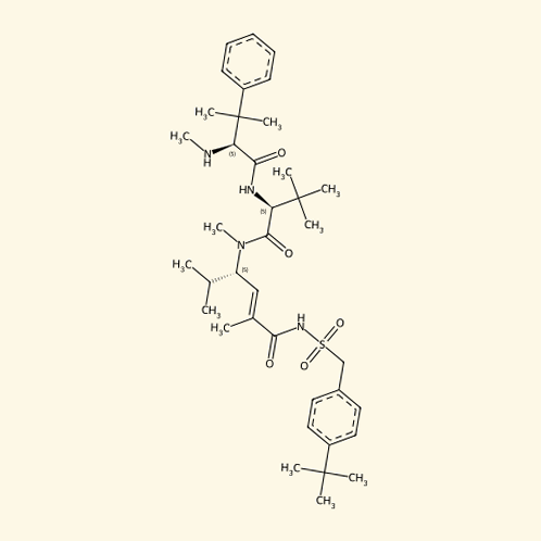 CN[C@H](C(=O)N[C@H](C(=O)N(C)[C@H](C=C(C)C(=O)NS(=O)(=O)Cc1ccc(C(C)(C)C)cc1)C(C)C)C(C)(C)C)C(C)(C)c1ccccc1